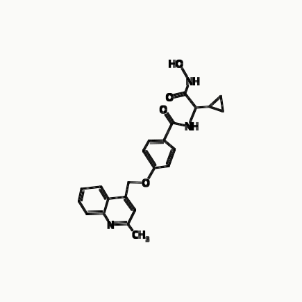 Cc1cc(COc2ccc(C(=O)NC(C(=O)NO)C3CC3)cc2)c2ccccc2n1